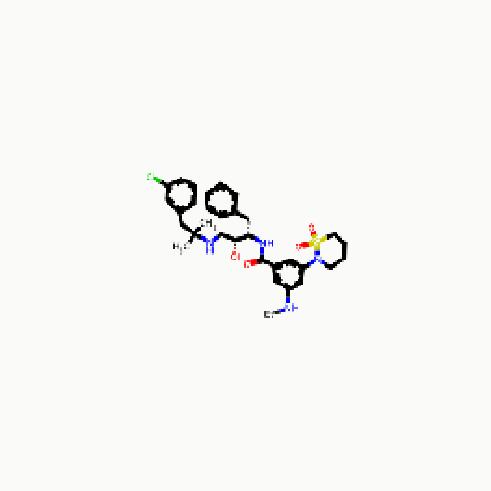 CCNc1cc(C(=O)N[C@@H](Cc2ccccc2)[C@H](O)CNC(C)(C)Cc2cccc(Cl)c2)cc(N2CCCCS2(=O)=O)c1